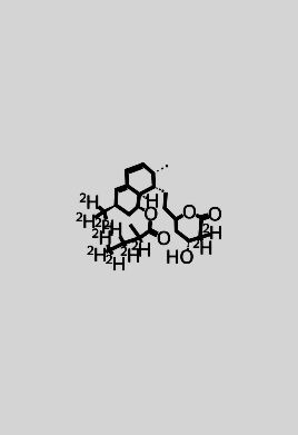 [2H]C([2H])([2H])[C@H]1C=C2C=C[C@H](C)[C@H](CCC3C[C@@H](O)C([2H])([2H])C(=O)O3)[C@H]2[C@@H](OC(=O)[C@@]([2H])(C)C([2H])([2H])C([2H])([2H])[2H])C1